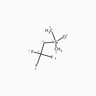 C[Si](C)(Cl)CC(F)(F)F